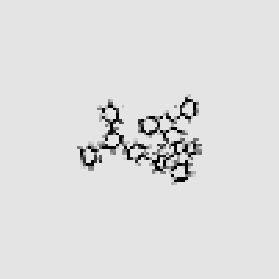 c1ccc(-c2nc3ccccc3c3c4c(ccc23)C2(c3ccccc3-c3ccccc32)c2cccc(-c3ccc(-c5cc(-c6ccccn6)nc(-c6ccccn6)c5)cc3)c2S4)cc1